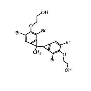 CC1(C2c3cc(Br)c(OCCO)c(Br)c32)c2cc(Br)c(OCCO)c(Br)c21